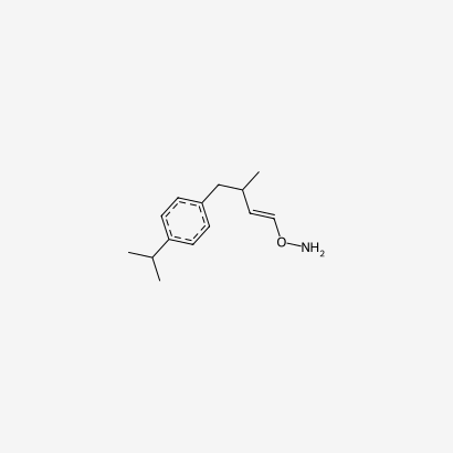 CC(C=CON)Cc1ccc(C(C)C)cc1